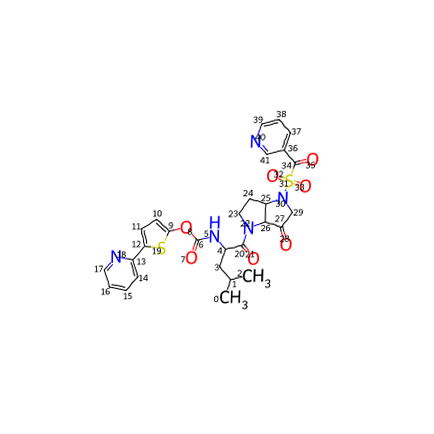 CC(C)CC(NC(=O)Oc1ccc(-c2ccccn2)s1)C(=O)N1CCC2C1C(=O)CN2S(=O)(=O)C(=O)c1cccnc1